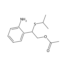 CC(=O)OCC(SC(C)C)c1ccccc1N